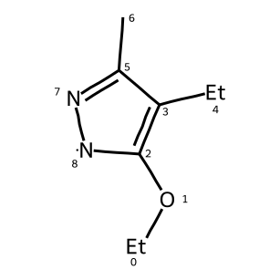 CCOC1=C(CC)C(C)=N[N]1